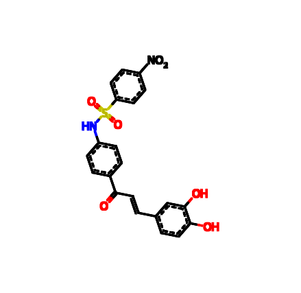 O=C(C=Cc1ccc(O)c(O)c1)c1ccc(NS(=O)(=O)c2ccc([N+](=O)[O-])cc2)cc1